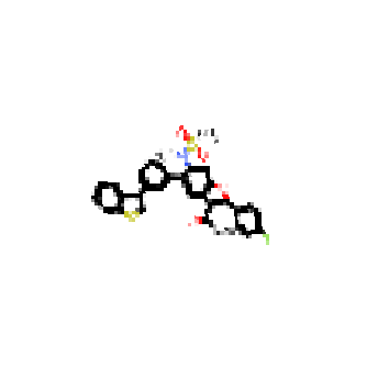 CNC(=O)c1c(-c2ccc(F)cc2)oc2cc(N(C)S(C)(=O)=O)c(-c3cccc(C4CSc5ccccc54)c3)cc12